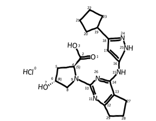 Cl.O=C(O)[C@@H]1C[C@@H](O)CN1c1nc2c(c(Nc3cc(C4CCCC4)n[nH]3)n1)CCC2